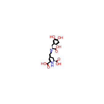 O=C(O)C1=C/C(=C/C=N/[C@@H](Cc2ccc(O)c(O)c2)C(=O)O)C[C@@H](C(=O)O)N1